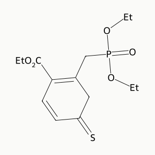 CCOC(=O)C1=C(CP(=O)(OCC)OCC)CC(=S)C=C1